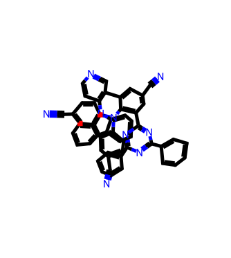 N#Cc1cc(-c2nc(-c3ccccc3)nc(-c3ccccc3)n2)c(-n2c3ccc(C#N)cc3c3cc(C#N)ccc32)c(-c2cnccc2-n2c3ccccc3c3ccccc32)c1